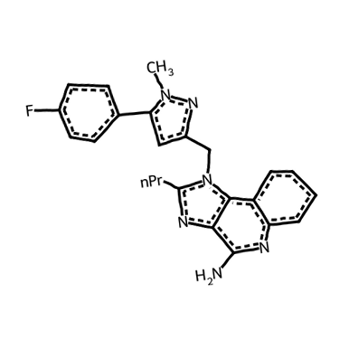 CCCc1nc2c(N)nc3ccccc3c2n1Cc1cc(-c2ccc(F)cc2)n(C)n1